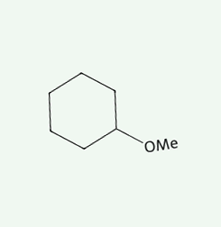 [CH2]OC1CCCCC1